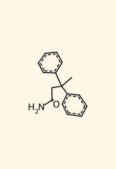 CC(CC(N)=O)(c1ccccc1)c1ccccc1